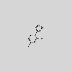 Cc1ccc(-c2cc[c]s2)c(Cl)c1